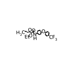 C=CCC(=O)C(OCC)C(=O)Nc1ccc(Oc2ccc(C(F)(F)F)cc2)cc1